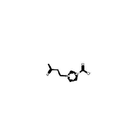 CC(=O)CCn1cc[n+](C(=O)[O-])c1